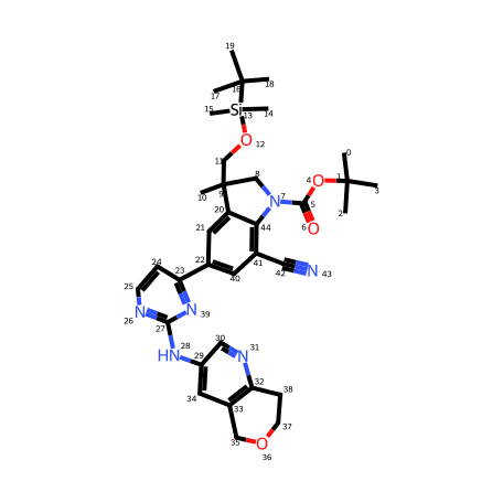 CC(C)(C)OC(=O)N1CC(C)(CO[Si](C)(C)C(C)(C)C)c2cc(-c3ccnc(Nc4cnc5c(c4)COCC5)n3)cc(C#N)c21